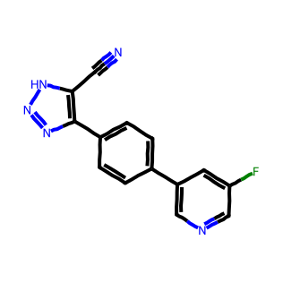 N#Cc1[nH]nnc1-c1ccc(-c2cncc(F)c2)cc1